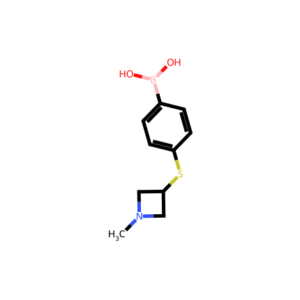 CN1CC(Sc2ccc(B(O)O)cc2)C1